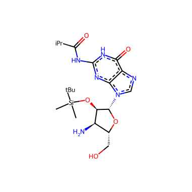 CC(C)C(=O)Nc1nc2c(ncn2[C@@H]2O[C@H](CO)[C@@H](N)[C@H]2O[Si](C)(C)C(C)(C)C)c(=O)[nH]1